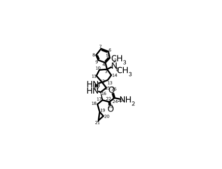 CN(C)C1(c2ccccc2)CCC2(CC1)C[C@@H](C(CC1CC1)C(=O)C(N)=O)NN2